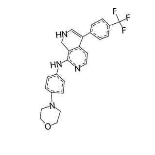 FC(F)(F)c1ccc(C2=CNCc3c2ccnc3Nc2ccc(N3CCOCC3)cc2)cc1